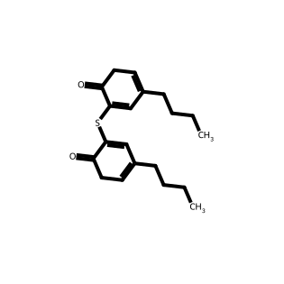 CCCCC1=CCC(=O)C(SC2=CC(CCCC)=CCC2=O)=C1